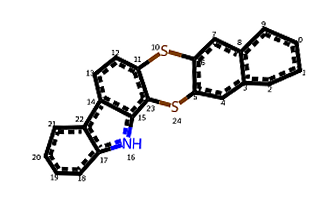 c1ccc2cc3c(cc2c1)Sc1ccc2c([nH]c4ccccc42)c1S3